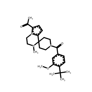 COc1cc(C(=O)N2CCC3(CC2)c2ccc(C(C)=O)n2CCN3C)ccc1C(C)(C)C